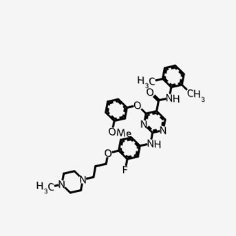 COc1cccc(Oc2nc(Nc3ccc(OCCCN4CCN(C)CC4)c(F)c3)ncc2C(=O)Nc2c(C)cccc2C)c1